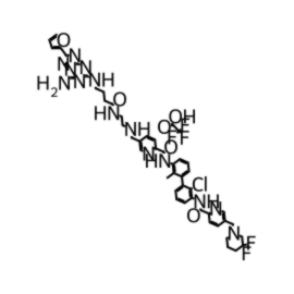 Cc1c(NC(=O)c2ccc(CNCCNC(=O)CCCNc3nc(N)n4nc(-c5ccco5)nc4n3)cn2)cccc1-c1cccc(NC(=O)c2ccc(CN3CCCC(F)(F)C3)cn2)c1Cl.O=C(O)C(F)(F)F